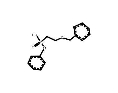 O=P(O)(CCOCc1ccccc1)Oc1ccccc1